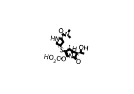 CC(O)[C@H]1C(=O)N2C(OC(=O)O)=C(S[C@@H]3CN[C@H](C(=O)N(C)C)C3)[C@H](C)[C@H]12